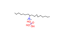 CCCCCCCCCC(CCCCCCC)N(C)C.O=P(O)(O)O